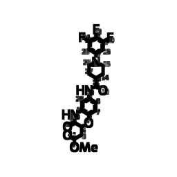 COC(=O)CC1Oc2ccc(NC(=O)C3CCN(c4cc(F)c(F)c(F)c4)CC3)cc2NC1=O